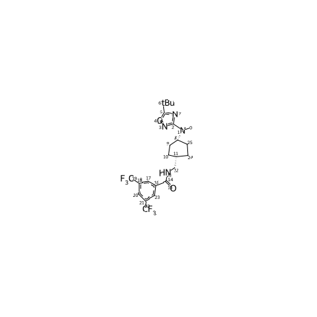 CN(c1noc(C(C)(C)C)n1)[C@H]1CC[C@@H](CNC(=O)c2cc(C(F)(F)F)cc(C(F)(F)F)c2)CC1